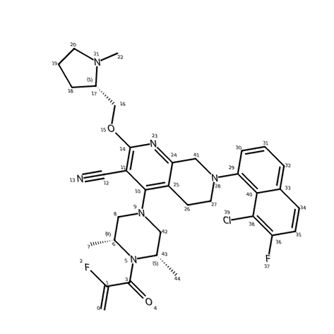 C=C(F)C(=O)N1[C@H](C)CN(c2c(C#N)c(OC[C@@H]3CCCN3C)nc3c2CCN(c2cccc4ccc(F)c(Cl)c24)C3)C[C@@H]1C